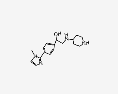 Cn1ccnc1-c1ccc(C(O)CNC2CCNCC2)cc1